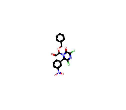 O=CC(OCc1ccccc1)n1c(-c2cccc([N+](=O)[O-])c2)c(Cl)nc(Cl)c1=O